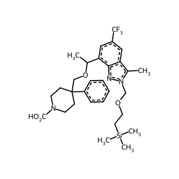 Cc1c2cc(C(F)(F)F)cc(C(C)OCC3(c4ccccc4)CCN(C(=O)O)CC3)c2nn1COCC[Si](C)(C)C